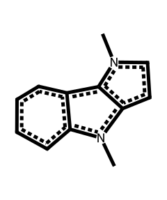 Cn1ccc2c1c1ccccc1n2C